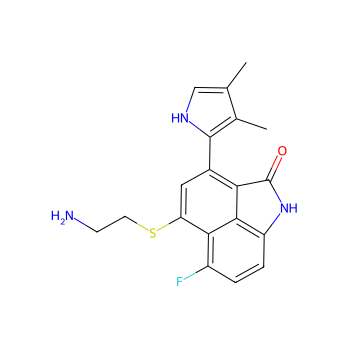 Cc1c[nH]c(-c2cc(SCCN)c3c(F)ccc4c3c2C(=O)N4)c1C